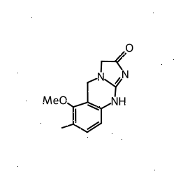 COc1c(C)ccc2c1CN1CC(=O)N=C1N2